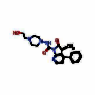 C=C1C(=O)N(C(=O)NN2CCN(CCO)CC2)c2nccc(-c3ccccc3)c21